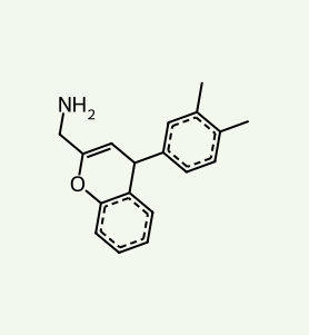 Cc1ccc(C2C=C(CN)Oc3ccccc32)cc1C